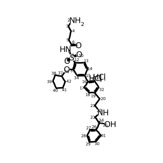 Cl.Cl.NCCCC(=O)NS(=O)(=O)c1ccc(-c2ccc(CCNC[C@@H](O)c3ccccc3)cc2)cc1OC1CCCCC1